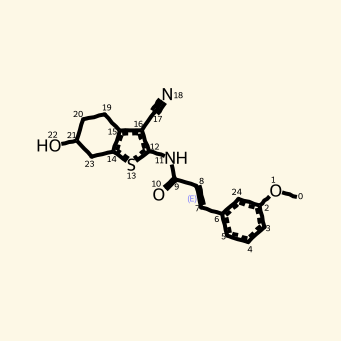 COc1cccc(/C=C/C(=O)Nc2sc3c(c2C#N)CCC(O)C3)c1